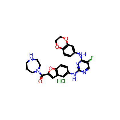 Cl.O=C(c1cc2cc(Nc3ncc(F)c(Nc4ccc5c(c4)OCCO5)n3)ccc2o1)N1CCCNCC1